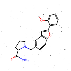 COc1ccccc1-c1cc2cc(CN3CCCC3C(N)=O)ccc2o1